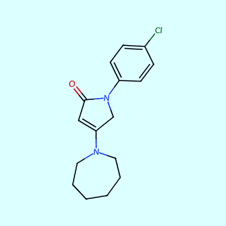 O=C1C=C(N2CCCCCC2)CN1c1ccc(Cl)cc1